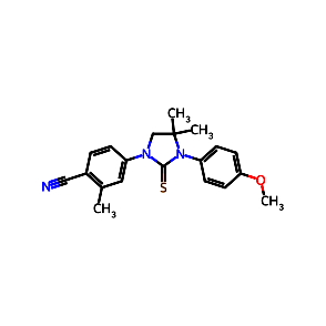 COc1ccc(N2C(=S)N(c3ccc(C#N)c(C)c3)CC2(C)C)cc1